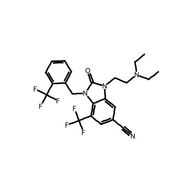 CCN(CC)CCn1c(=O)n(Cc2ccccc2C(F)(F)F)c2c(C(F)(F)F)cc(C#N)cc21